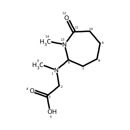 CN(CC(=O)O)C1CCCCC(=O)N1C